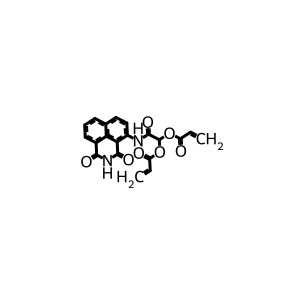 C=CC(=O)OC(OC(=O)C=C)C(=O)Nc1ccc2cccc3c2c1C(=O)NC3=O